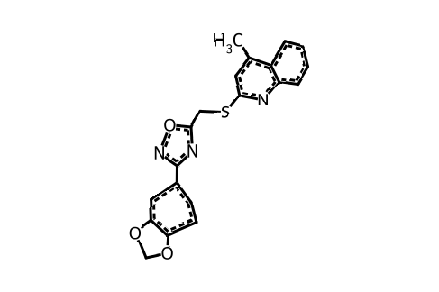 Cc1cc(SCc2nc(-c3ccc4c(c3)OCO4)no2)nc2ccccc12